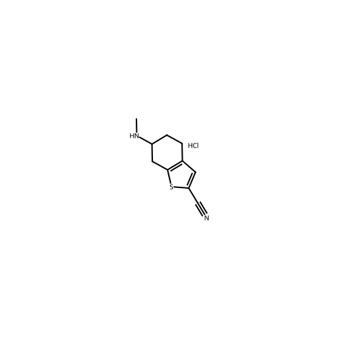 CNC1CCc2cc(C#N)sc2C1.Cl